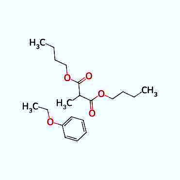 CCCCOC(=O)C(C)C(=O)OCCCC.CCOc1ccccc1